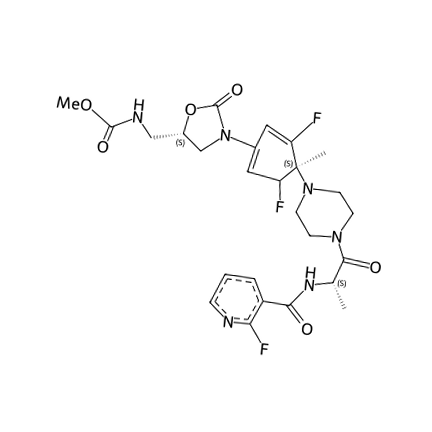 COC(=O)NC[C@H]1CN(C2=CC(F)[C@](C)(N3CCN(C(=O)[C@H](C)NC(=O)c4cccnc4F)CC3)C(F)=C2)C(=O)O1